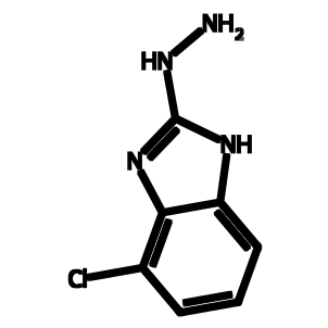 NNc1nc2c(Cl)cccc2[nH]1